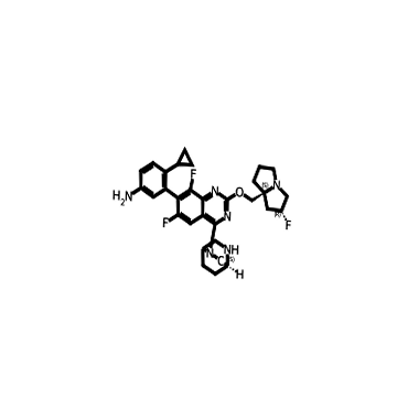 Nc1ccc(C2CC2)c(-c2c(F)cc3c(N4C[C@@H]5CCC4CN5)nc(OC[C@@]45CCCN4C[C@H](F)C5)nc3c2F)c1